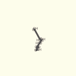 CNC(SC1CC(=O)N(CCCCNC(=O)CCC(NC(=O)CCCCCCCCCCCCCCC(=O)O)C(=O)O)C1=O)C(C)=O